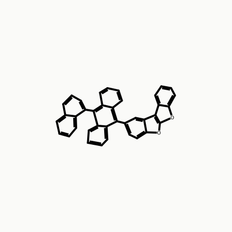 c1ccc2c(-c3c4ccccc4c(-c4ccc5oc6oc7ccccc7c6c5c4)c4ccccc34)cccc2c1